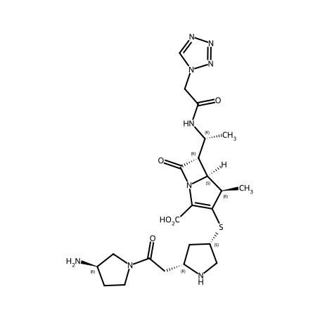 C[C@@H](NC(=O)Cn1cnnn1)[C@H]1C(=O)N2C(C(=O)O)=C(S[C@@H]3CN[C@H](CC(=O)N4CC[C@@H](N)C4)C3)[C@H](C)[C@H]12